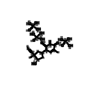 Cc1cn([C@H]2C[C@H](O)[C@](C)(C#N)C2)c(=O)[nH]c1=O.O=P(O)(O)O.O=P(O)(O)O.O=P(O)(O)O